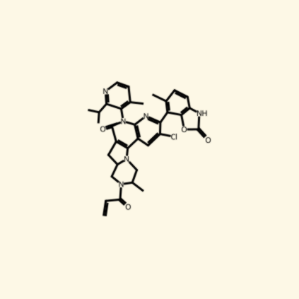 C=CC(=O)N1CC2Cc3c(c4cc(Cl)c(-c5c(C)ccc6[nH]c(=O)oc56)nc4n(-c4c(C)ccnc4C(C)C)c3=O)N2CC1C